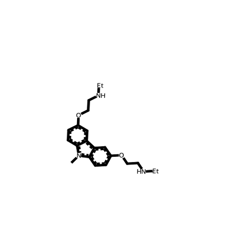 CCNCCOc1ccc2c(c1)c1cc(OCCNCC)ccc1n2C